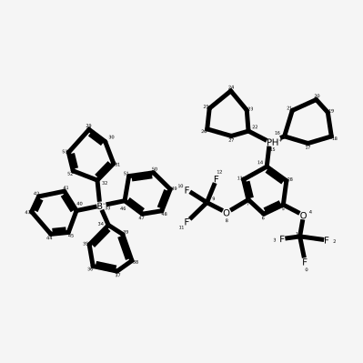 FC(F)(F)Oc1cc(OC(F)(F)F)cc([PH+](C2CCCCC2)C2CCCCC2)c1.c1ccc([B-](c2ccccc2)(c2ccccc2)c2ccccc2)cc1